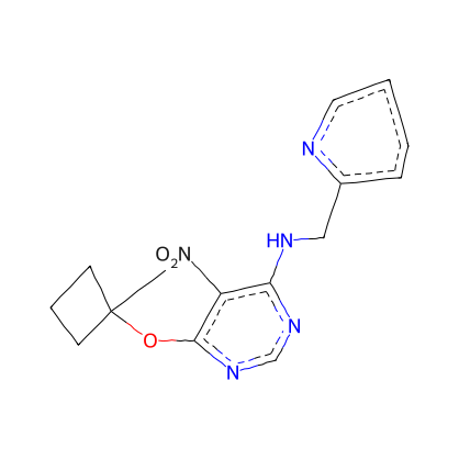 CC1(Oc2ncnc(NCc3ccccn3)c2[N+](=O)[O-])CCC1